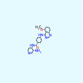 COc1cccc2ncnc(Nc3ccc(C(=O)Nc4ccncc4N)cc3)c12